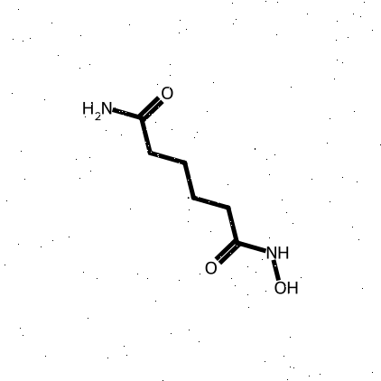 NC(=O)CC[CH]CC(=O)NO